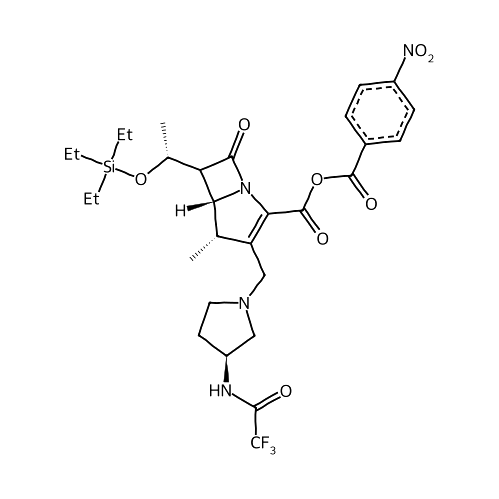 CC[Si](CC)(CC)O[C@H](C)C1C(=O)N2C(C(=O)OC(=O)c3ccc([N+](=O)[O-])cc3)=C(CN3CC[C@H](NC(=O)C(F)(F)F)C3)[C@H](C)[C@H]12